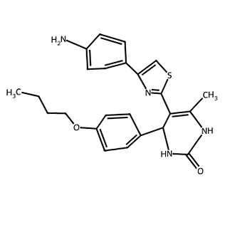 CCCCOc1ccc(C2NC(=O)NC(C)=C2c2nc(-c3ccc(N)cc3)cs2)cc1